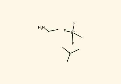 CCN.CN(C)C.F[B-](F)(F)F